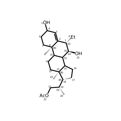 CC[C@H]1C2=CC(O)CC[C@]2(C)C2CC[C@@]3(C)C(CC[C@@H]3[C@H](C)COC(C)=O)C2[C@@H]1O